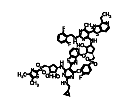 CCc1nccc2sc(-c3c(C)nc(NCc4c(F)cccc4F)nc3NC3C[C@H](CS(=O)(=O)c4ccc(F)cc4)[C@@H](Oc4nccc5sc(-c6c(C)nc(NCC7CC7)nc6N[C@@H]6C[C@H](CS(=O)(=O)c7nc(C)c(C)s7)[C@@H](O)[C@H]6O)nc45)[C@H]3O)nc12